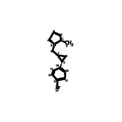 C[C@@H]1CCCN1CC1C[C@@H]1c1ccc(Br)cc1